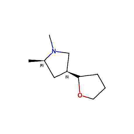 C[C@@H]1C[C@H](C2CCCO2)CN1C